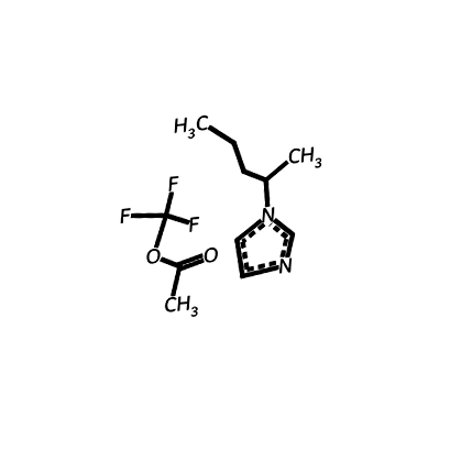 CC(=O)OC(F)(F)F.CCCC(C)n1ccnc1